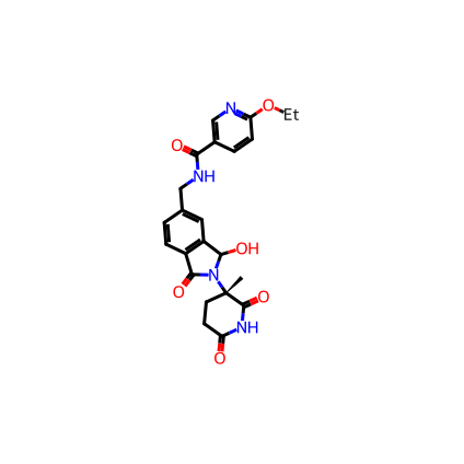 CCOc1ccc(C(=O)NCc2ccc3c(c2)C(O)N([C@@]2(C)CCC(=O)NC2=O)C3=O)cn1